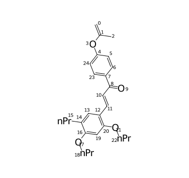 C=C(C)Oc1ccc(C(=O)C=Cc2cc(CCC)c(OCCC)cc2OCCC)cc1